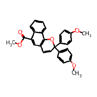 COC(=O)c1cc2c(c3ccccc13)OC(c1ccc(OC)cc1)(c1ccc(OC)cc1)C=C2